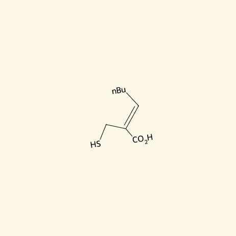 CCCCC=C(CS)C(=O)O